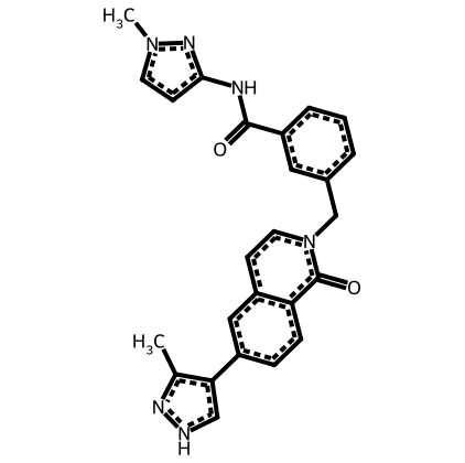 Cc1n[nH]cc1-c1ccc2c(=O)n(Cc3cccc(C(=O)Nc4ccn(C)n4)c3)ccc2c1